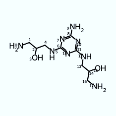 NCC(O)CNc1nc(N)nc(NCC(O)CN)n1